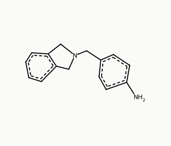 Nc1ccc(CN2Cc3ccccc3C2)cc1